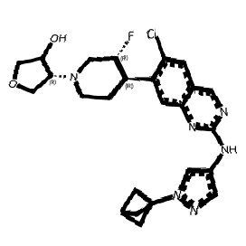 OC1COC[C@H]1N1CC[C@H](c2cc3nc(Nc4cnn(C56CC(C5)C6)c4)ncc3cc2Cl)[C@@H](F)C1